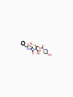 O=C(Cc1ccccc1)NC1C(=O)N2C(C(=O)O)=C(COC(=O)N3CCC(O)CC3)C[S+]([O-])[C@H]12